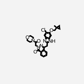 CC1(COc2cc3[nH]c(Cc4nn(CC(=O)N5CCOCC5)c(=O)c5ccccc45)nc3cc2Cl)CC1